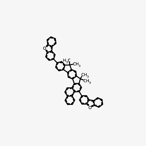 CC1(C)c2cc(-c3ccc4oc5ccccc5c4c3)ccc2-c2cc3c(cc21)C(C)(C)c1cc(-c2ccc4oc5ccccc5c4c2)c2c(ccc4ccccc42)c1-3